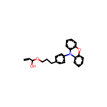 C=CC(O)OCCCc1ccc(N2c3ccccc3Oc3ccccc32)cc1